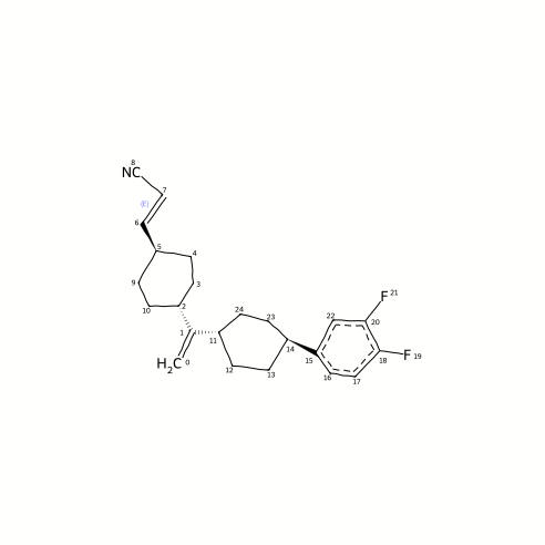 C=C([C@H]1CC[C@H](/C=C/C#N)CC1)[C@H]1CC[C@H](c2ccc(F)c(F)c2)CC1